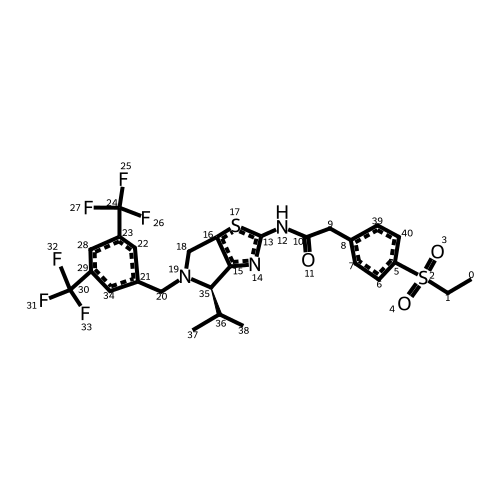 CCS(=O)(=O)c1ccc(CC(=O)Nc2nc3c(s2)CN(Cc2cc(C(F)(F)F)cc(C(F)(F)F)c2)[C@@H]3C(C)C)cc1